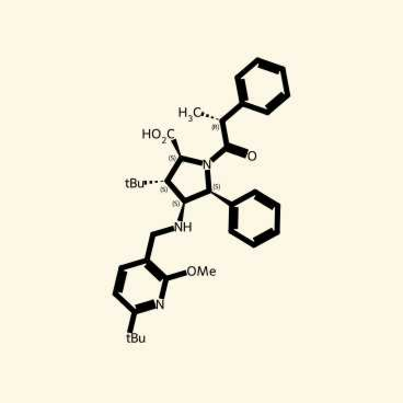 COc1nc(C(C)(C)C)ccc1CN[C@H]1[C@H](C(C)(C)C)[C@@H](C(=O)O)N(C(=O)[C@H](C)c2ccccc2)[C@H]1c1ccccc1